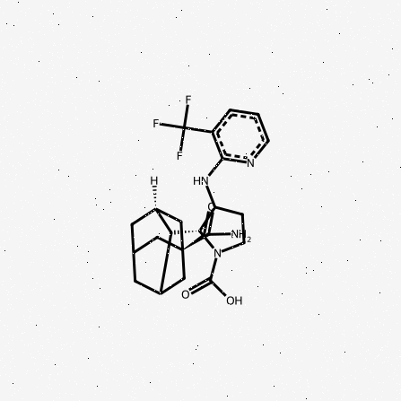 NC(=O)[C@]12CC3CC(C1)C([C@@H]1C(Nc4ncccc4C(F)(F)F)CCN1C(=O)O)[C@@H](C3)C2